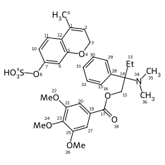 CC1=CCOc2cc(OS(=O)(=O)O)ccc21.CCC(COC(=O)c1cc(OC)c(OC)c(OC)c1)(c1ccccc1)N(C)C